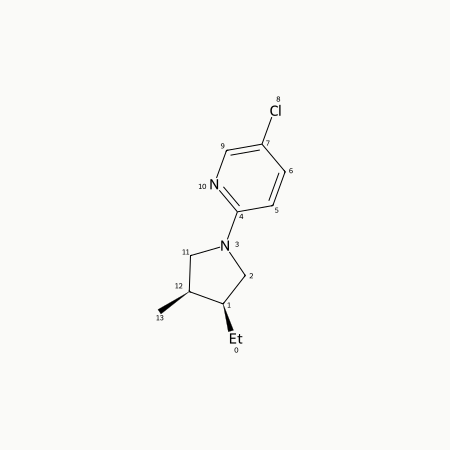 CC[C@@H]1CN(c2ccc(Cl)cn2)C[C@@H]1C